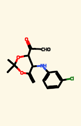 C=C1OC(C)(C)OC(C(=O)C=O)C1Nc1cccc(Cl)c1